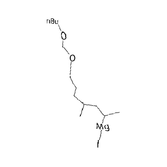 CCCCOCOCCCC(C)C[CH](C)[Mg][I]